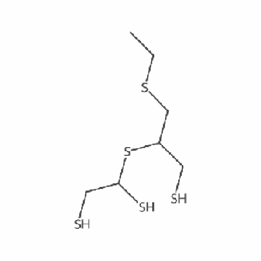 CCSCC(CS)SC(S)CS